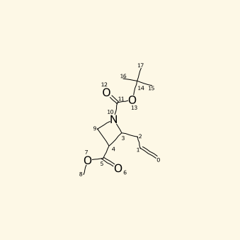 C=CCC1C(C(=O)OC)CN1C(=O)OC(C)(C)C